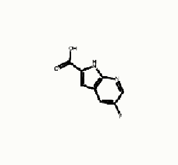 O=C(O)c1cc2cc(F)cnc2[nH]1